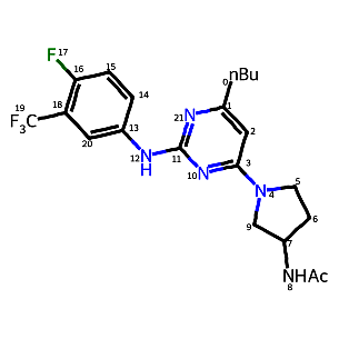 CCCCc1cc(N2CCC(NC(C)=O)C2)nc(Nc2ccc(F)c(C(F)(F)F)c2)n1